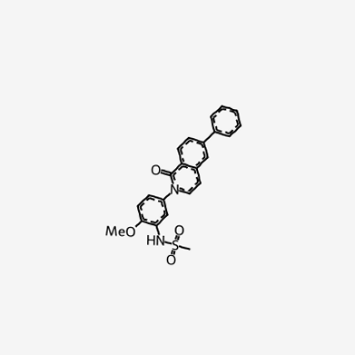 COc1ccc(-n2ccc3cc(-c4ccccc4)ccc3c2=O)cc1NS(C)(=O)=O